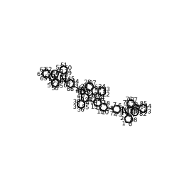 c1ccc(N(c2ccc(-c3ccc4cc5c(cc4c3)C3(c4ccccc4-c4ccccc43)c3c-5c4ccccc4c4cc(-c5ccc(N(c6ccccc6)c6cccc7c6oc6ccccc67)cc5)ccc34)cc2)c2cccc3c2oc2ccccc23)cc1